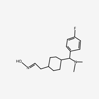 CN(C)C(c1ccc(F)cc1)C1CCC(C/C=N/O)CC1